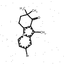 Cc1c2c(n3ccc(Br)cc13)CCC(C)(C)C2=O